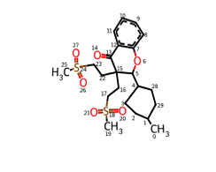 CC1CCC(C2Oc3ccccc3C(=O)C2(CCS(C)(=O)=O)CCS(C)(=O)=O)CC1